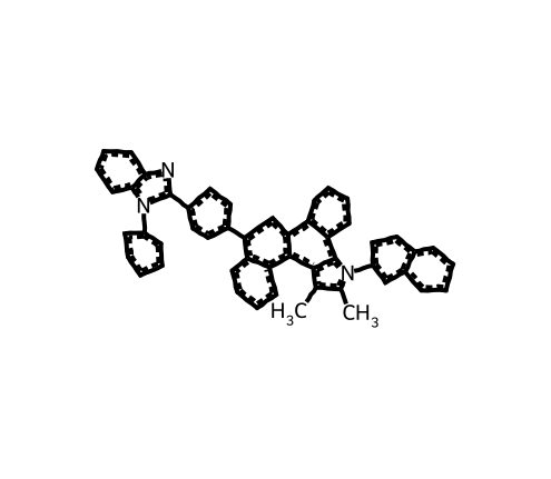 Cc1c(C)n(-c2ccc3ccccc3c2)c2c3ccccc3c3cc(-c4ccc(-c5nc6ccccc6n5-c5ccccc5)cc4)c4ccccc4c3c12